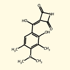 Cc1cc(C(O)=C2C(=O)NC2=O)c(O)c(C)c1N(C)C